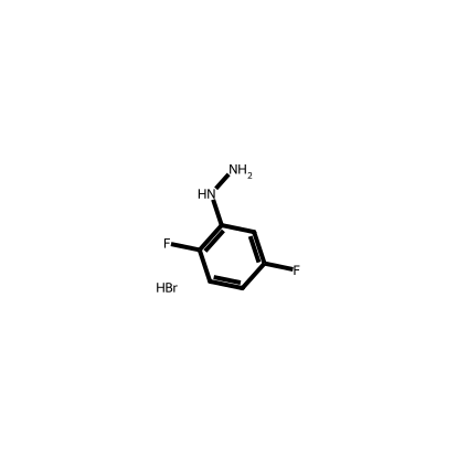 Br.NNc1cc(F)ccc1F